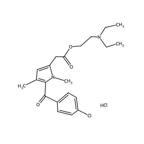 CCN(CC)CCOC(=O)Cc1cc(C)c(C(=O)c2ccc(Cl)cc2)n1C.Cl